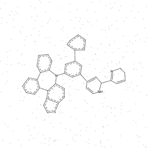 C1=CC(C2C=C(c3cc(-c4ccccc4)cc(N4c5ccccc5-c5ccccc5-c5c4ccc4sccc54)c3)C=CN2)=NCC1